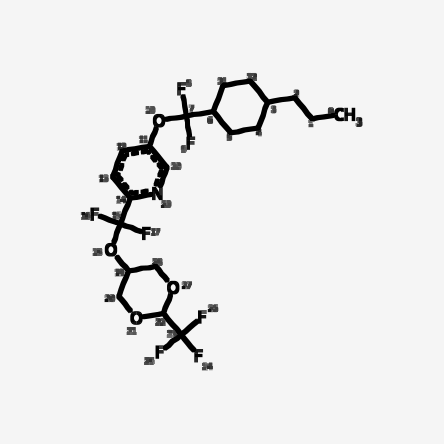 CCCC1CCC(C(F)(F)Oc2ccc(C(F)(F)OC3COC(C(F)(F)F)OC3)nc2)CC1